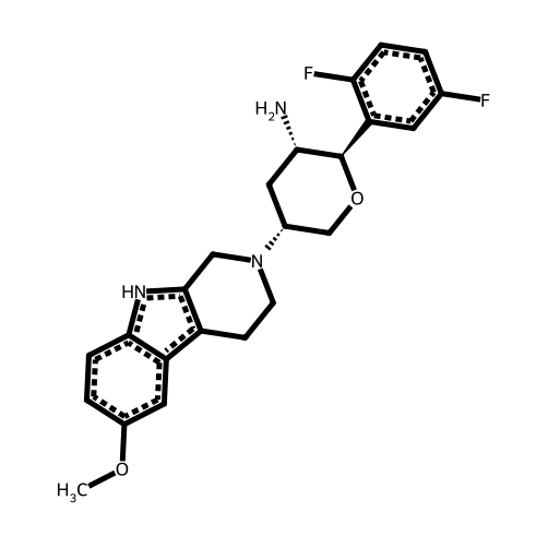 COc1ccc2[nH]c3c(c2c1)CCN([C@H]1CO[C@H](c2cc(F)ccc2F)[C@@H](N)C1)C3